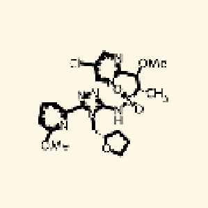 COc1cccc(-c2nnc(NS(=O)(=O)[C@@H](C)[C@H](OC)c3ncc(Cl)cn3)n2C[C@@H]2CCCO2)n1